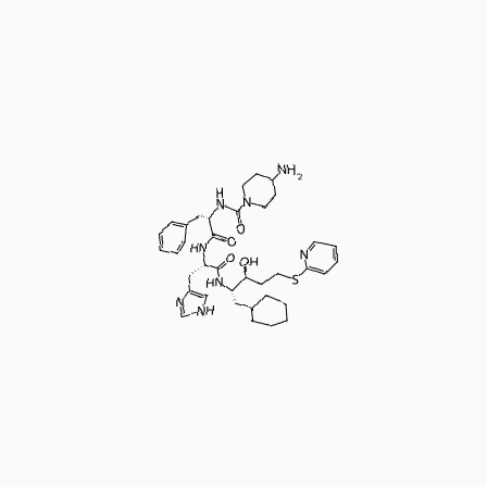 NC1CCN(C(=O)N[C@@H](Cc2ccccc2)C(=O)N[C@@H](Cc2c[nH]cn2)C(=O)N[C@@H](CC2CCCCC2)[C@@H](O)CCSc2ccccn2)CC1